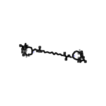 C=C1C(=O)O[C@H]2[C@H]1CC/C(COC(=O)NCCCCCCCCCCNC(=O)OC/C1=C/CC[C@@]3(C)O[C@H]3[C@H]3OC(=O)C(=C)[C@@H]3CC1)=C\CC[C@@]1(C)O[C@@H]21